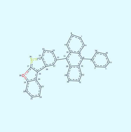 c1ccc(-c2c3ccccc3c(-c3ccc4sc5oc6ccccc6c5c4c3)c3ccccc23)cc1